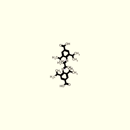 CC(=N\c1c(C(C)C)cc(C(=O)O)cc1C(C)C)/C(C)=N/c1c(C(C)C)cc(C(=O)O)cc1C(C)C